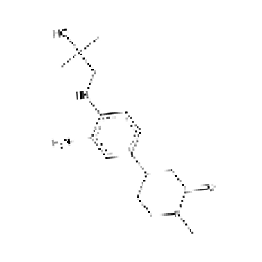 CN1CCC(c2ccc(NCC(C)(C)O)c(N)c2)CC1=O